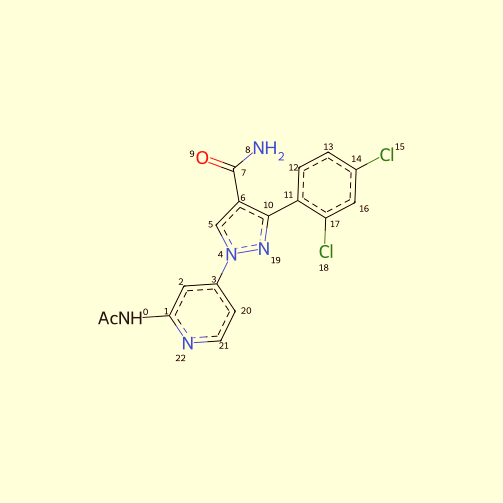 CC(=O)Nc1cc(-n2cc(C(N)=O)c(-c3ccc(Cl)cc3Cl)n2)ccn1